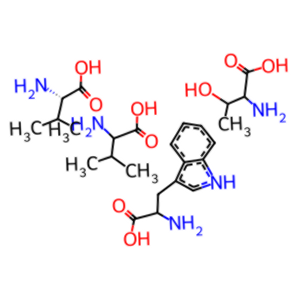 CC(C)C(N)C(=O)O.CC(C)[C@H](N)C(=O)O.CC(O)C(N)C(=O)O.NC(Cc1c[nH]c2ccccc12)C(=O)O